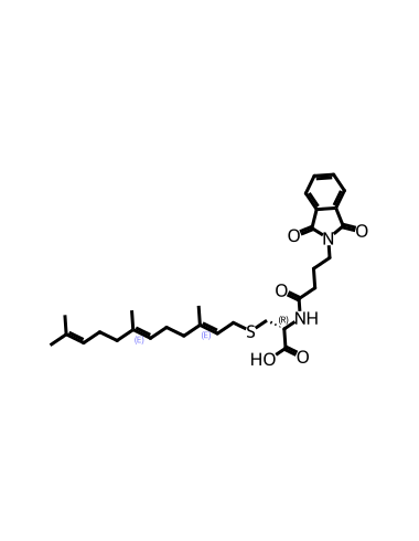 CC(C)=CCC/C(C)=C/CC/C(C)=C/CSC[C@H](NC(=O)CCCN1C(=O)c2ccccc2C1=O)C(=O)O